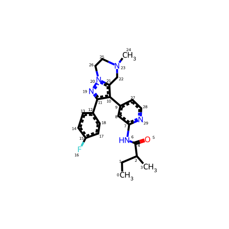 CCC(C)C(=O)Nc1cc(-c2c(-c3ccc(F)cc3)nn3c2CN(C)CC3)ccn1